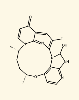 C[C@@H]1CC[C@H](C)n2ccc(=O)c3cc(F)c(nc32)N2c3c(ccnc3NC2O)O1